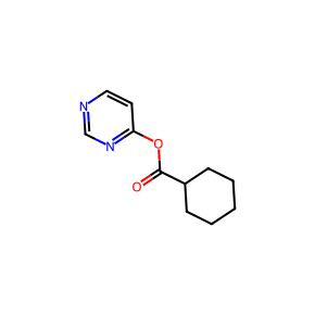 O=C(Oc1ccncn1)C1CCCCC1